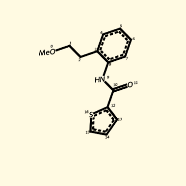 COCCc1ccccc1NC(=O)c1cccs1